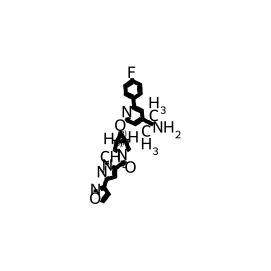 Cn1nc(-c2ccon2)cc1C(=O)N1C[C@@H]2[C@H](C1)[C@@H]2Oc1cc(C(C)(C)N)cc(-c2ccc(F)cc2)n1